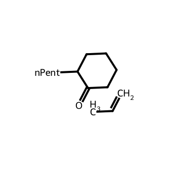 C=CC.CCCCCC1CCCCC1=O